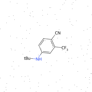 CC(C)(C)Nc1ccc(C#N)c(C(F)(F)F)c1